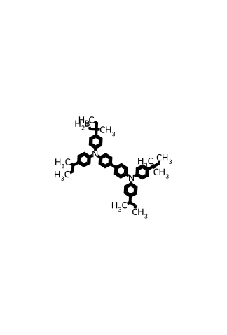 BCC(C)(CC)c1ccc(N(c2ccc(-c3ccc(N(c4ccc(C(C)CC)cc4)c4ccc(C(C)(C)CC)cc4)cc3)cc2)c2ccc(C(C)CC)cc2)cc1